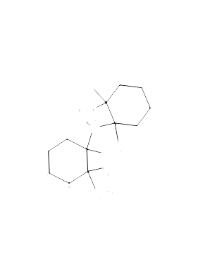 CCCCCCC1(CC)CCCCC1(CC)[S+]([O-])C1(CC)CCCCC1(CC)CCCCCC